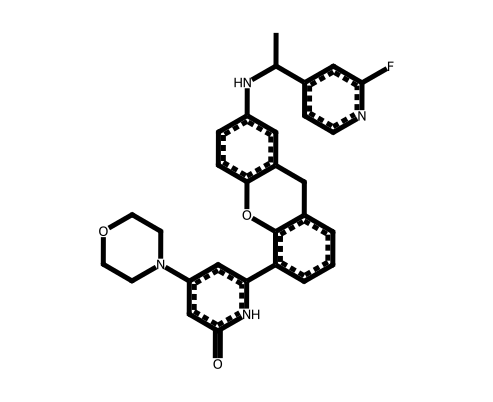 CC(Nc1ccc2c(c1)Cc1cccc(-c3cc(N4CCOCC4)cc(=O)[nH]3)c1O2)c1ccnc(F)c1